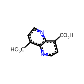 O=C(O)c1ccnc2c(C(=O)O)ccnc12